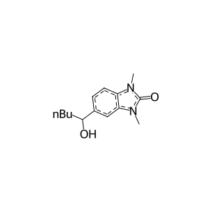 CCCCC(O)c1ccc2c(c1)n(C)c(=O)n2C